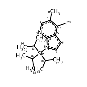 Cc1cnc2c(ccn2[Si](C(C)C)(C(C)C)C(C)C)c1I